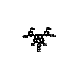 CCC1=Cc2c(-c3cc(C(C)(C)C)cc(C(C)(C)C)c3)cccc2[CH]1[Zr+2]1([CH]2C(CC)=Cc3c(-c4cc(C(C)(C)C)cc(C(C)(C)C)c4)cccc32)[CH2]C[CH2]1.[Cl-].[Cl-]